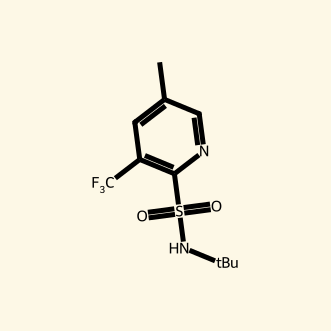 Cc1cnc(S(=O)(=O)NC(C)(C)C)c(C(F)(F)F)c1